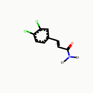 CCN(CC)C(=O)/C=C/c1ccc(Cl)c(Cl)c1